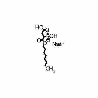 CCCCCCCCOC(=O)C(CC(=O)O)S(=O)(=O)O.[Na+].[Na+]